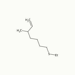 [CH2]CSCCCCC(C)C=C